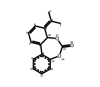 CC(C)=C1C=CC=C2c3ccccc3OC(=O)OC21